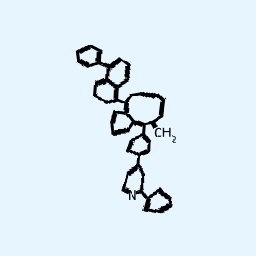 C=C1/C=C\C=C/C/C(C2=c3cccc(-c4ccccc4)c3=CCC2)=c2/cccc/c2=C/1c1ccc(C2=CC=NC(c3ccccc3)C2)cc1